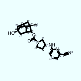 N#Cc1cncc(N[C@@H]2CCN(C(=O)OC3C4CC5C[C@H]3C[C@@](O)(C5)C4)C2)n1